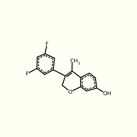 CC1=C(c2cc(F)cc(F)c2)COc2cc(O)ccc21